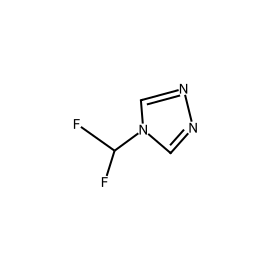 FC(F)n1cnnc1